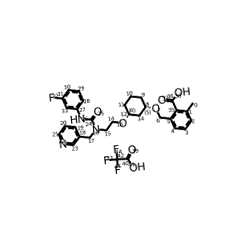 Cc1cccc(CO[C@H]2CCC[C@@H](OCCN(Cc3cccnc3)C(=O)Nc3cccc(F)c3)C2)c1C(=O)O.O=C(O)C(F)(F)F